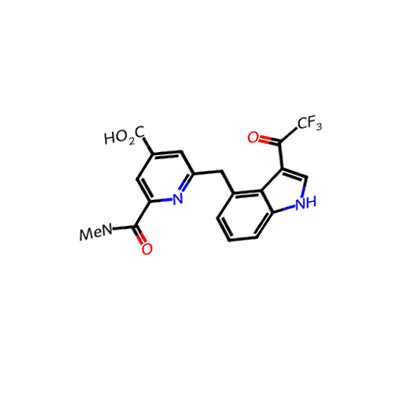 CNC(=O)c1cc(C(=O)O)cc(Cc2cccc3[nH]cc(C(=O)C(F)(F)F)c23)n1